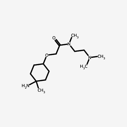 CN(C)CCN(C)C(=O)COC1CCC(C)(N)CC1